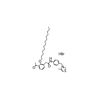 Br.CCCCCCCCCCCCCCOc1c(CC(=O)Nc2ccc(CN3CSC=C3C)cc2)cccc1C(C)=O